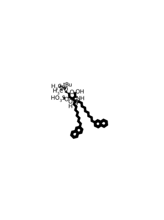 CC(C)(C)[Si](C)(C)OC[C@H]1O[C@H](O)[C@@H](NC(=O)CCCCCCCCc2ccc3ccccc3c2)[C@](O)(C(=O)CCCCCCCCc2ccc3ccccc3c2)[C@@H]1OS(=O)(=O)O